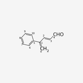 C=C(C=CC=O)c1ccccc1